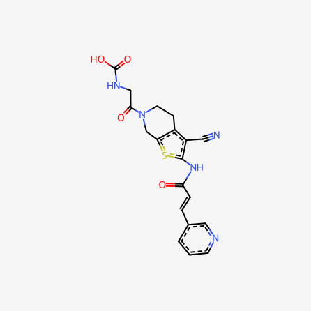 N#Cc1c(NC(=O)C=Cc2cccnc2)sc2c1CCN(C(=O)CNC(=O)O)C2